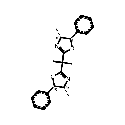 C[C@H]1N=C(C(C)(C)C2=N[C@H](C)[C@@H](c3ccccc3)O2)O[C@@H]1c1ccccc1